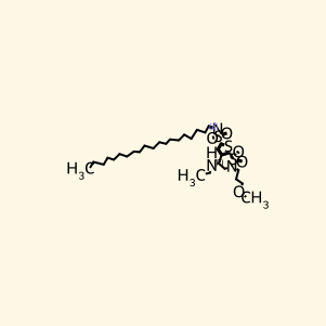 CCCCCCCCCCCCCCCCCCC/C=N\S(=O)(=O)c1cc2c(s1)S(=O)(=O)N(CCCOC)C[C@@H]2NCC